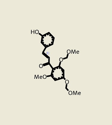 COCOc1cc(OC)c(C(=O)/C=C/c2cccc(O)c2)c(OCOC)c1